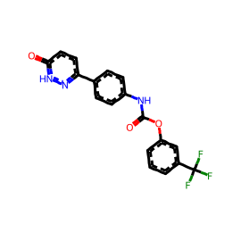 O=C(Nc1ccc(-c2ccc(=O)[nH]n2)cc1)Oc1cccc(C(F)(F)F)c1